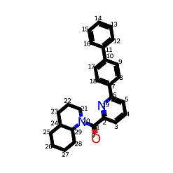 O=C(c1cccc(-c2ccc(-c3ccccc3)cc2)n1)N1CCCC2CCCCC21